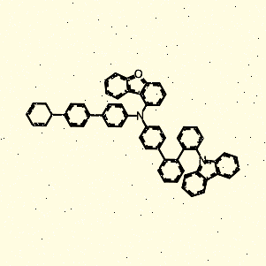 C1=CCC(c2ccc(-c3ccc(N(c4ccc(-c5ccccc5-c5ccccc5-n5c6ccccc6c6ccccc65)cc4)c4cccc5oc6ccccc6c45)cc3)cc2)C=C1